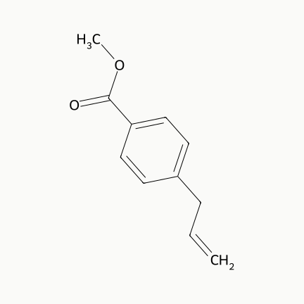 C=CCc1ccc(C(=O)OC)cc1